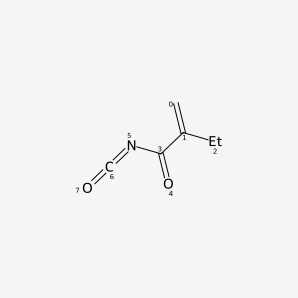 C=C(CC)C(=O)N=C=O